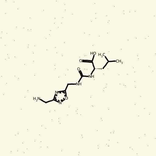 CC(C)C[C@H](NC(=O)NCc1nc(CN)no1)C(=O)O